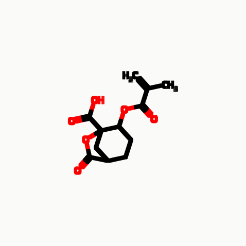 C=C(C)C(=O)OC1CCC2CC1(C(=O)O)OC2=O